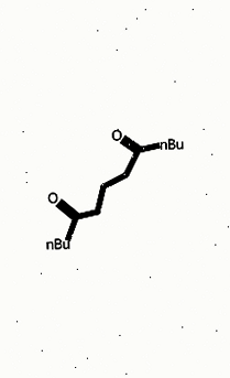 CCCCC(=O)CCCC(=O)CCCC